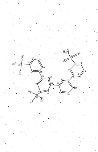 NS(=O)(=O)c1cccc(-c2cc(-c3nc(-c4cccc(C(F)(F)F)c4)cc(C(F)(F)F)n3)ccn2)c1